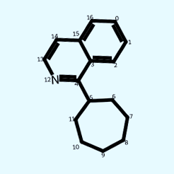 c1ccc2c(C3CCCCCC3)nccc2c1